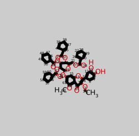 CCOc1c(-c2ccc(O)c(O)c2)oc2cc(O[C@@H]3OC(COC(=O)c4ccccc4)[C@@H](OC(=O)c4ccccc4)C(OC(=O)c4ccccc4)[C@@H]3OC(=O)c3ccccc3)cc(OC)c2c1=O